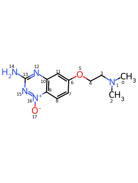 CN(C)CCOc1ccc2c(c1)nc(N)n[n+]2[O-]